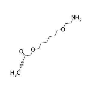 CC#CC(=O)COCCCCCCOCCN